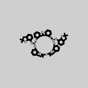 CC1(C)Cc2cccc(OP3Oc4ccccc4C(=O)c4ccccc4OP(Oc4cccc5c4OC(C)(C)C5)Oc4cccc5c4OC(C)(C5)CC4(C)Cc5cccc(c5O4)O3)c2O1